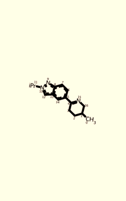 CC1CCC(c2ccc3nn(C(C)C)cc3c2)=NC1